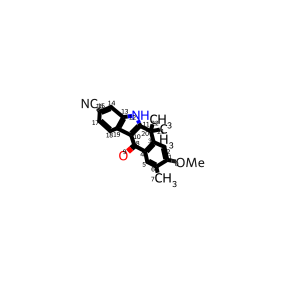 COc1cc2c(cc1C)C(=O)c1c([nH]c3cc(C#N)ccc13)C2(C)C